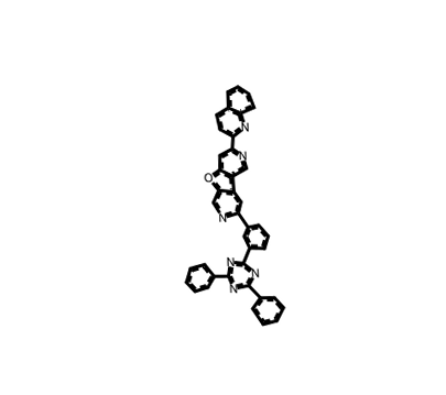 c1ccc(-c2nc(-c3ccccc3)nc(-c3cccc(-c4cc5c(cn4)oc4cc(-c6ccc7ccccc7n6)ncc45)c3)n2)cc1